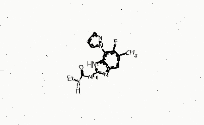 CCNC(=O)Nc1nc2cc(C)c(F)c(-n3cccn3)c2[nH]1